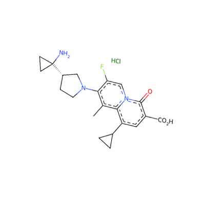 Cc1c(N2CC[C@H](C3(N)CC3)C2)c(F)cn2c(=O)c(C(=O)O)cc(C3CC3)c12.Cl